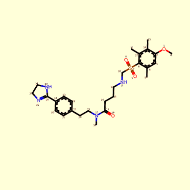 COc1cc(C)c(S(=O)(=O)CNCCCC(=O)N(C)CCc2ccc(C3=NCCN3)cc2)c(C)c1C